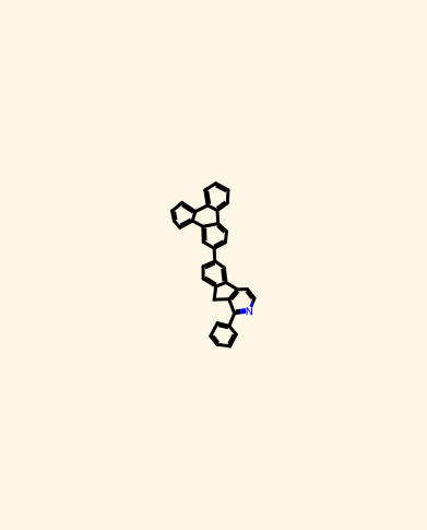 c1ccc(-c2nccc3c2Cc2ccc(-c4ccc5c6ccccc6c6ccccc6c5c4)cc2-3)cc1